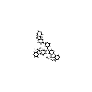 CC1(C)c2ccccc2-c2ccc(N(c3cccc(-c4ccc5oc6ccccc6c5c4)c3)c3ccc4c(c3)C(C)(C)c3ccccc3-4)cc21